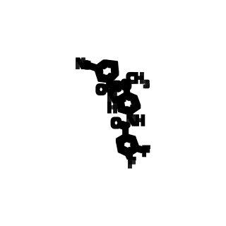 COc1ccc(NC(=O)c2ccc(F)c(F)c2)cc1NS(=O)(=O)c1cccc(C#N)c1